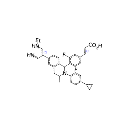 CCN/C=C(\C=N)c1ccc2c(c1)CC(C)N(c1ccc(C3CC3)cc1)C2c1c(F)cc(/C=C/C(=O)O)cc1F